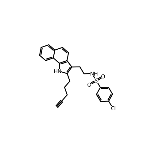 C#CCCCc1[nH]c2c(ccc3ccccc32)c1CCNS(=O)(=O)c1ccc(Cl)cc1